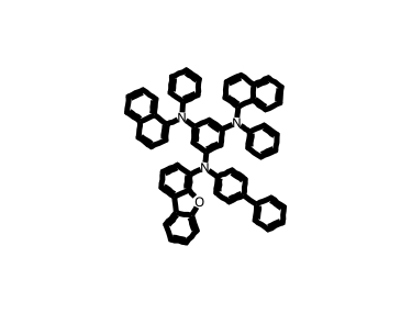 c1ccc(-c2ccc(N(c3cc(N(c4ccccc4)c4cccc5ccccc45)cc(N(c4ccccc4)c4cccc5ccccc45)c3)c3cccc4c3oc3ccccc34)cc2)cc1